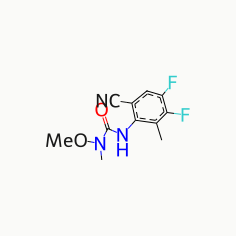 CON(C)C(=O)Nc1c(C#N)cc(F)c(F)c1C